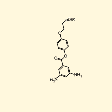 CCCCCCCCCCCCOc1ccc(OC(=O)c2cc(N)cc(N)c2)cc1